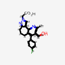 CC(C)c1nc2c(c(-c3ccc(F)cc3)c1CO)CCCc1nn(CC(=O)O)cc1-2